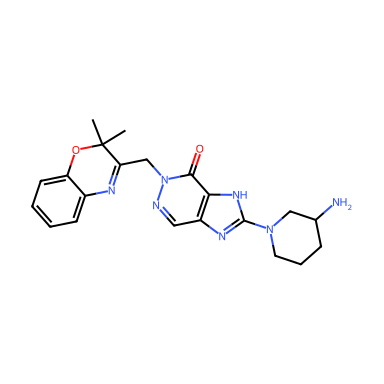 CC1(C)Oc2ccccc2N=C1Cn1ncc2nc(N3CCCC(N)C3)[nH]c2c1=O